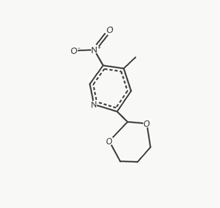 Cc1cc(C2OCCCO2)ncc1[N+](=O)[O-]